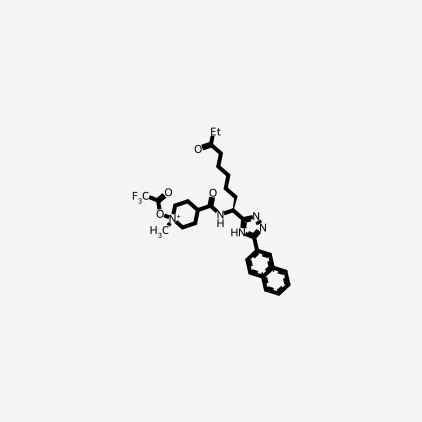 CCC(=O)CCCCC[C@H](NC(=O)C1CC[N+](C)(OC(=O)C(F)(F)F)CC1)c1nnc(-c2ccc3ccccc3c2)[nH]1